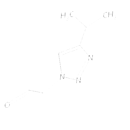 CC(C)c1cn(CC=O)nn1